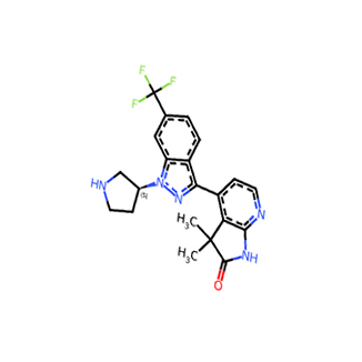 CC1(C)C(=O)Nc2nccc(-c3nn([C@H]4CCNC4)c4cc(C(F)(F)F)ccc34)c21